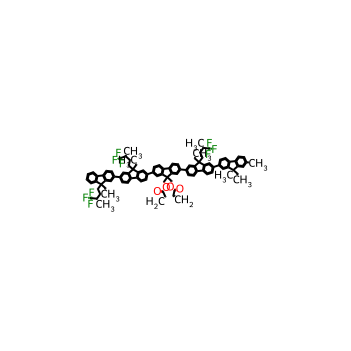 C=CC(=O)OCC1(COC(=O)C=C)c2cc(-c3ccc4c(c3)C(CC)(CCC(C)C(F)(F)F)c3cc(-c5ccc6c(c5)C(C)(CC)c5cc(C)ccc5-6)ccc3-4)ccc2-c2ccc(-c3ccc4c(c3)C(CC)(CCC(C)C(F)(F)F)c3cc(-c5ccc6c(c5)C(CC)(CCC(C)C(F)(F)F)c5ccccc5-6)ccc3-4)cc21